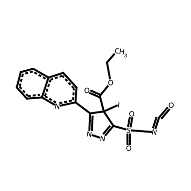 CCOC(=O)C1(I)C(c2ccc3ccccc3n2)=NN=C1S(=O)(=O)N=C=O